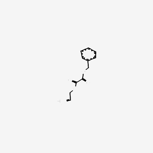 C=CCOC(=O)C(=O)OCc1ccccc1